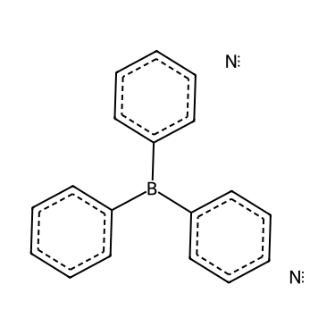 [N].[N].c1ccc(B(c2ccccc2)c2ccccc2)cc1